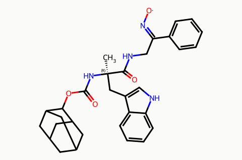 C[C@](Cc1c[nH]c2ccccc12)(NC(=O)OC1C2CC3CC(C2)CC1C3)C(=O)NCC(=N[O])c1ccccc1